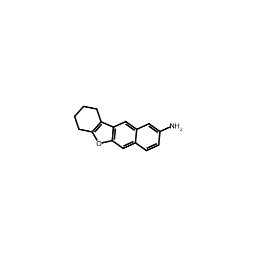 Nc1ccc2cc3oc4c(c3cc2c1)CCCC4